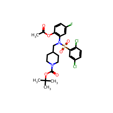 CC(=O)Oc1ccc(F)cc1N(CC1CCN(C(=O)OC(C)(C)C)CC1)S(=O)(=O)c1cc(Cl)ccc1Cl